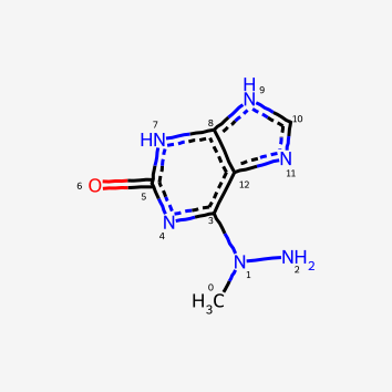 CN(N)c1nc(=O)[nH]c2[nH]cnc12